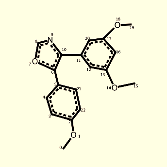 COc1ccc(-c2ocnc2-c2cc(OC)cc(OC)c2)cc1